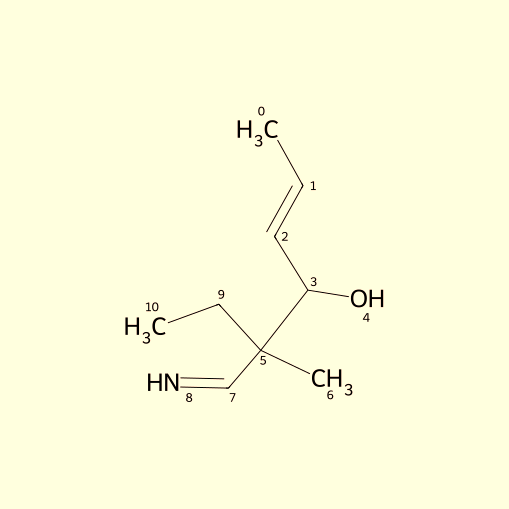 C/C=C/C(O)C(C)(C=N)CC